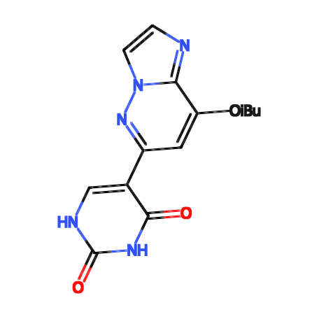 CC(C)COc1cc(-c2c[nH]c(=O)[nH]c2=O)nn2ccnc12